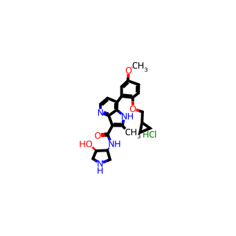 COc1ccc(OCC2CC2)c(-c2ccnc3c(C(=O)N[C@@H]4CNC[C@H]4O)c(C)[nH]c23)c1.Cl